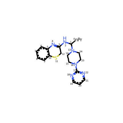 CCCC(NC1=Nc2ccccc2SC1)N1CCN(c2ncccn2)CC1